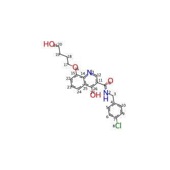 O=C(NCc1ccc(Cl)cc1)c1cnc2c(OCCCCO)cccc2c1O